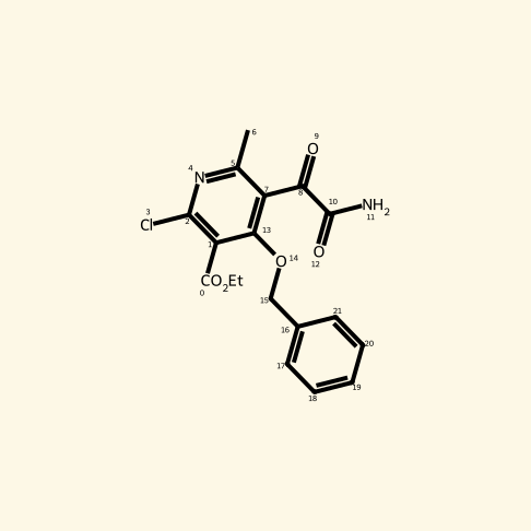 CCOC(=O)c1c(Cl)nc(C)c(C(=O)C(N)=O)c1OCc1ccccc1